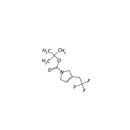 CC(C)(C)OC(=O)N1CC=C(CC(F)(F)F)C1